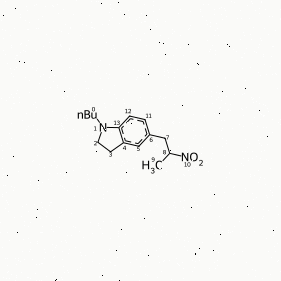 CCCCN1CCc2cc(CC(C)[N+](=O)[O-])ccc21